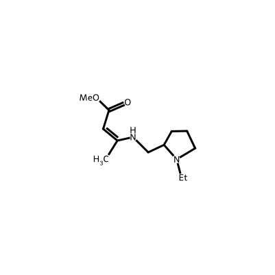 CCN1CCCC1CN/C(C)=C\C(=O)OC